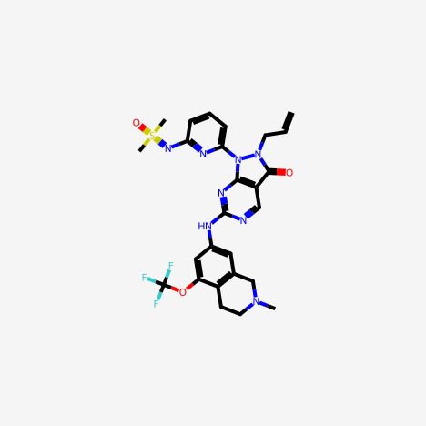 C=CCn1c(=O)c2cnc(Nc3cc4c(c(OC(F)(F)F)c3)CCN(C)C4)nc2n1-c1cccc(N=S(C)(C)=O)n1